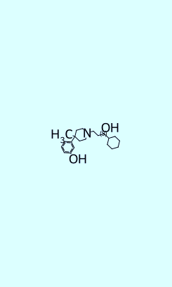 CC1(c2cccc(O)c2)CCN(CC[C@H](O)C2CCCCC2)CC1